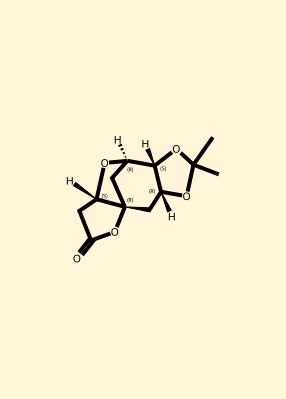 CC1(C)O[C@H]2[C@H]3C[C@]4(C[C@H]2O1)OC(=O)C[C@@H]4O3